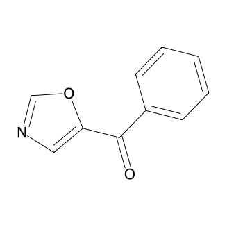 O=C(c1ccccc1)c1cnco1